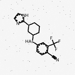 N#Cc1ccc([AsH]C2CCCC(c3ncc[nH]3)C2)cc1C(F)(F)F